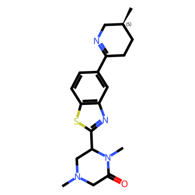 C[C@H]1CCC(c2ccc3sc(C4CN(C)CC(=O)N4C)nc3c2)=NC1